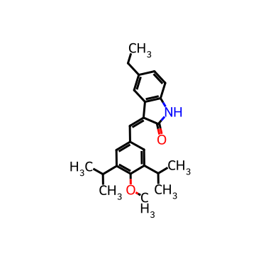 CCc1ccc2c(c1)/C(=C/c1cc(C(C)C)c(OC)c(C(C)C)c1)C(=O)N2